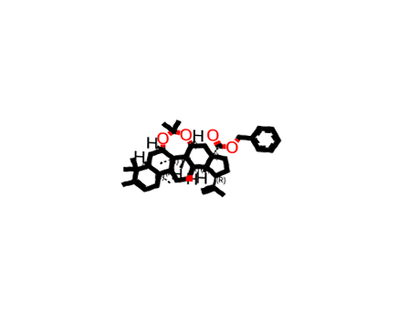 C=C(C)[C@@H]1CC[C@]2(C(=O)OCc3ccccc3)C[C@@H]3OC(C)(C)O[C@H]4C[C@H]5C(C)(C)C(C)=CC[C@]5(C)[C@H]5CC[C@H]([C@@H]12)[C@]3(C)[C@]45C